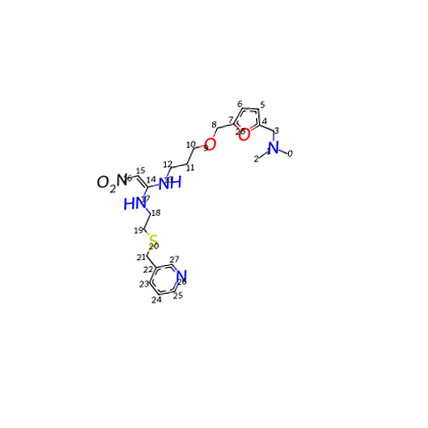 CN(C)Cc1ccc(COCCCN/C(=C/[N+](=O)[O-])NCCSCc2cccnc2)o1